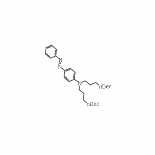 CCCCCCCCCCCCCN(CCCCCCCCCCCCC)c1ccc(N=Nc2ccccc2)cc1